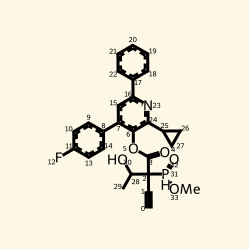 C#CC(C(=O)Oc1c(-c2ccc(F)cc2)cc(-c2ccccc2)nc1C1CC1)(C(C)O)[PH](=O)OC